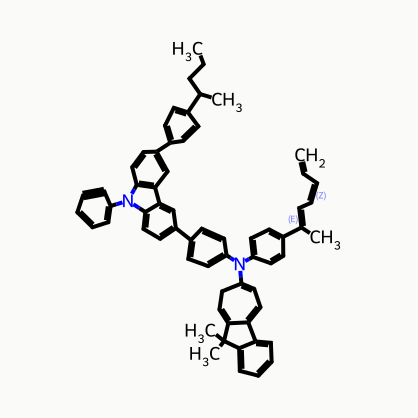 C=C/C=C\C=C(/C)c1ccc(N(C2=CC=C3C(=CC2)C(C)(C)c2ccccc23)c2ccc(-c3ccc4c(c3)c3cc(-c5ccc(C(C)CCC)cc5)ccc3n4-c3c#cccc3)cc2)cc1